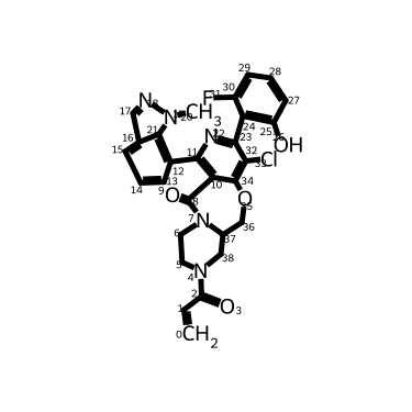 C=CC(=O)N1CCN2C(=O)c3c(-c4cccc5cnn(C)c45)nc(-c4c(O)cccc4F)c(Cl)c3OCC2C1